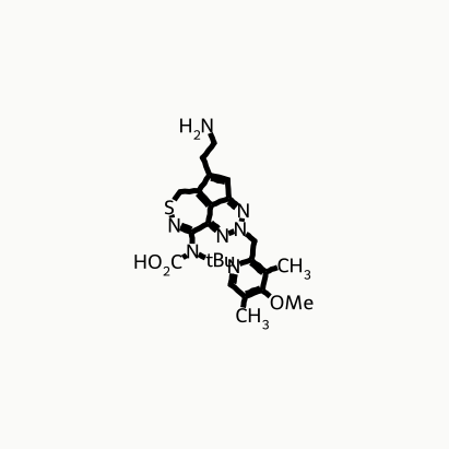 COc1c(C)cnc(Cn2nc3cc(CCN)c4c-3c(n2)C(N(C(=O)O)C(C)(C)C)=NSC4)c1C